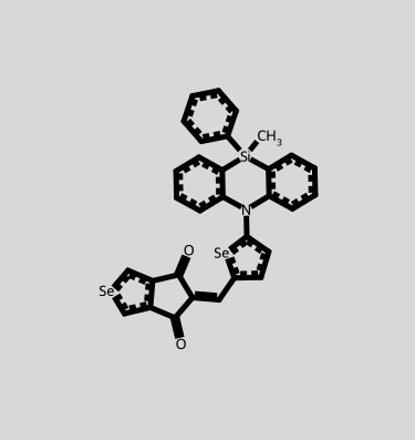 C[Si]1(c2ccccc2)c2ccccc2N(c2ccc(C=C3C(=O)c4c[se]cc4C3=O)[se]2)c2ccccc21